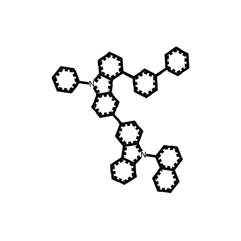 c1ccc(-c2cccc(-c3cccc4c3c3cc(-c5ccc6c(c5)c5ccccc5n6-c5cccc6ccccc56)ccc3n4-c3ccccc3)c2)cc1